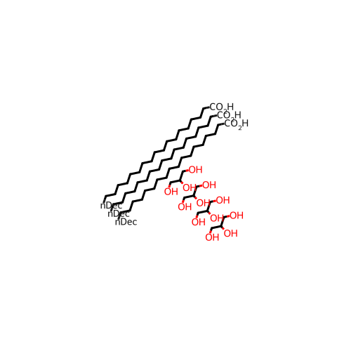 CCCCCCCCCCCCCCCCCCCCCCCCCCCC(=O)O.CCCCCCCCCCCCCCCCCCCCCCCCCCCC(=O)O.CCCCCCCCCCCCCCCCCCCCCCCCCCCC(=O)O.OCC(O)CO.OCC(O)CO.OCC(O)CO.OCC(O)CO